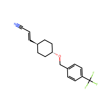 N#CC=C[C@H]1CC[C@H](OCc2ccc(C(F)(F)F)cc2)CC1